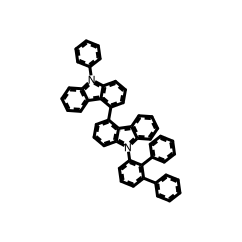 c1ccc(-c2cccc(-n3c4ccccc4c4c(-c5cccc6c5c5ccccc5n6-c5ccccc5)cccc43)c2-c2ccccc2)cc1